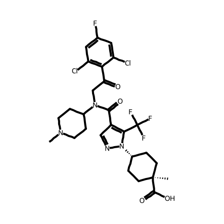 CN1CCC(N(CC(=O)c2c(Cl)cc(F)cc2Cl)C(=O)c2cnn([C@H]3CC[C@](C)(C(=O)O)CC3)c2C(F)(F)F)CC1